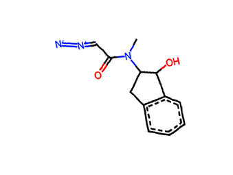 CN(C(=O)C=[N+]=[N-])C1Cc2ccccc2C1O